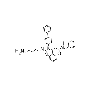 CN(CCCCCN)C1=Nc2ccccc2C(CC(=O)NCc2ccccc2)N1c1ccc(-c2ccccc2)cc1